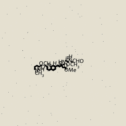 COCCC(C)(/C=C/c1ccc2ccc([C@@H](C)OC(=O)C3CCCN(C)N3)nc2c1)C(=O)NC(C(=O)NC(C)C=O)C(C)C